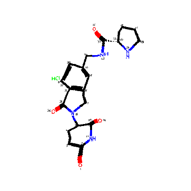 Cl.O=C1CCC(N2Cc3cc(CNC(=O)[C@@H]4CCCN4)ccc3C2=O)C(=O)N1